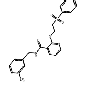 O=C(NCc1cccc(C(F)(F)F)c1)c1cccnc1SCCS(=O)(=O)c1ccccc1